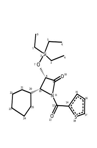 CC[Si](CC)(CC)O[C@@H]1C(=O)N(C(=O)c2cccs2)[C@@H]1C1CCCCC1